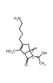 CC(O)[C@H]1C(=O)N2C(C(=O)O)=C(CSCCN)S[C@H]12